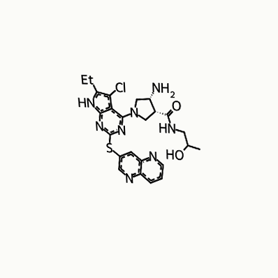 CCc1[nH]c2nc(Sc3cnc4cccnc4c3)nc(N3C[C@H](N)[C@H](C(=O)NCC(C)O)C3)c2c1Cl